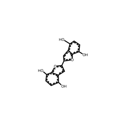 Oc1ccc(O)c2oc(-c3cc4c(O)ccc(O)c4o3)cc12